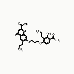 CCCc1cc2c(=O)cc(C(=O)O)[nH]c2cc1OCCCOc1ccc(C(C)=O)c(O)c1CCC